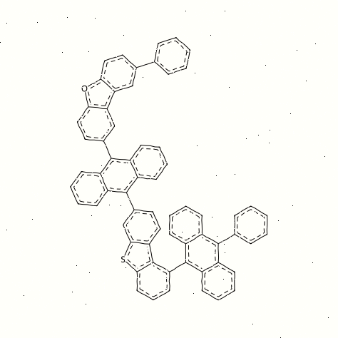 c1ccc(-c2ccc3oc4ccc(-c5c6ccccc6c(-c6ccc7c(c6)sc6cccc(-c8c9ccccc9c(-c9ccccc9)c9ccccc89)c67)c6ccccc56)cc4c3c2)cc1